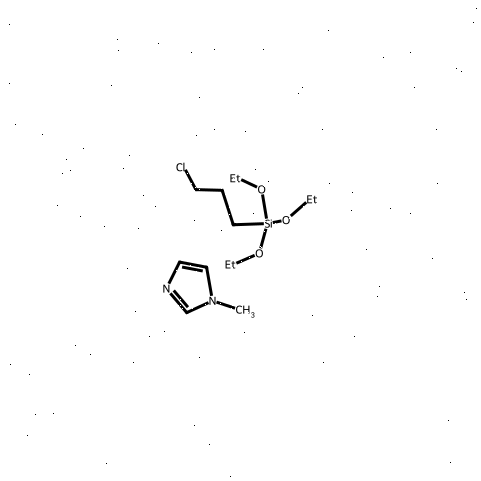 CCO[Si](CCCCl)(OCC)OCC.Cn1ccnc1